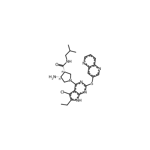 CCc1[nH]c2nc(Sc3cnc4cccnc4c3)nc(N3C[C@H](N)[C@H](C(=O)NCC(C)C)C3)c2c1Cl